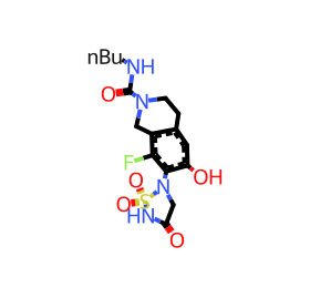 CCCCNC(=O)N1CCc2cc(O)c(N3CC(=O)NS3(=O)=O)c(F)c2C1